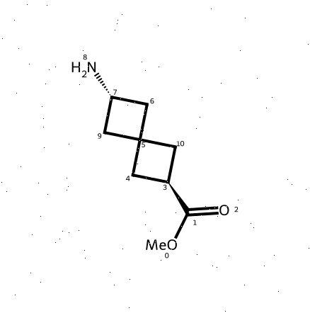 COC(=O)[C@H]1CC2(C[C@@H](N)C2)C1